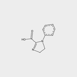 O=C(O)C1=NCCN1c1ccccc1